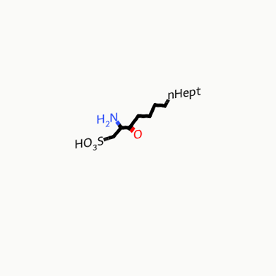 CCCCCCCCCCCC(=O)C(N)CS(=O)(=O)O